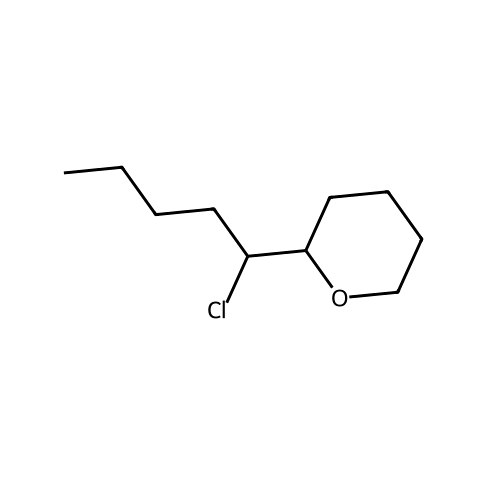 CCCCC(Cl)C1CCCCO1